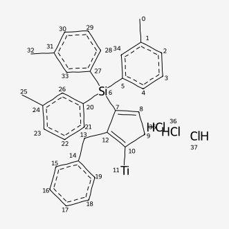 Cc1cccc([Si](C2=CC[C]([Ti])=C2Cc2ccccc2)(c2cccc(C)c2)c2cccc(C)c2)c1.Cl.Cl.Cl